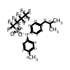 Cc1ccc([I+]c2ccc(CC(C)C)cc2)cc1.O=S(=O)([O-])C(F)(F)C(F)(F)C(F)(F)C(F)(F)F